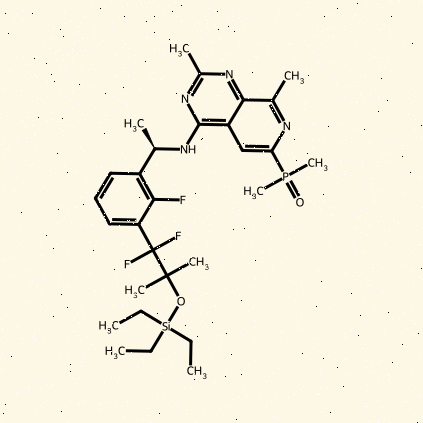 CC[Si](CC)(CC)OC(C)(C)C(F)(F)c1cccc([C@@H](C)Nc2nc(C)nc3c(C)nc(P(C)(C)=O)cc23)c1F